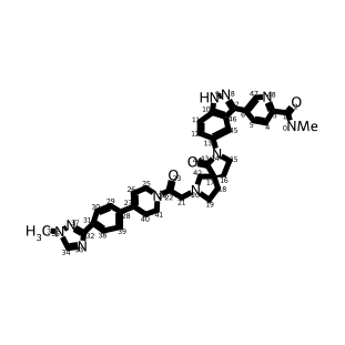 CNC(=O)c1ccc(-c2n[nH]c3ccc(N4CC[C@]5(CCN(CC(=O)N6CC=C(c7ccc(-c8ncn(C)n8)cc7)CC6)C5)C4=O)cc23)cn1